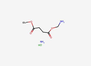 CC(C)(C)OC(=O)CCC(=O)OCN.Cl.N